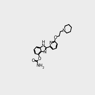 NC(=O)Oc1cccc2[nH]c(-c3cccc(OCCN4CCCCC4)n3)nc12